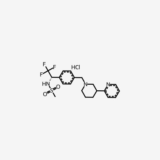 CS(=O)(=O)N[C@@H](c1ccc(CN2CCCC(c3ccccn3)C2)cc1)C(F)(F)F.Cl